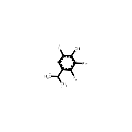 CC(C)c1cc(F)c(O)c(F)c1F